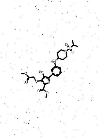 COC(=O)COc1c(C(=O)OC)sc(-c2cccc(NC3CCN(S(=O)(=O)C(C)C)CC3)c2)c1Br